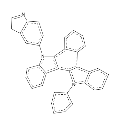 C1=Nc2ccc(-n3c4ccccc4c4c3c3ccccc3c3c5ccccc5n(-c5ccccc5)c34)cc2C1